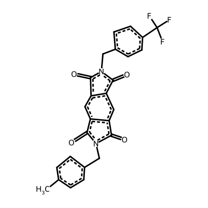 Cc1ccc(Cn2c(=O)c3cc4c(=O)n(Cc5ccc(C(F)(F)F)cc5)c(=O)c4cc3c2=O)cc1